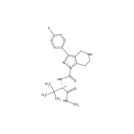 CNC(=O)[C@@H](NC(=O)n1nc(-c2ccc(F)cc2)c2c1CCNC2)C(C)(C)C